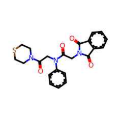 O=C(CN(C(=O)CN1C(=O)c2ccccc2C1=O)c1ccccc1)N1CCSCC1